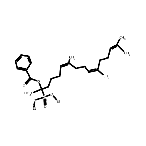 CCOP(=O)(OCC)C(CCCC=C(C)CCC=C(C)CCC=C(C)C)(OC(=O)c1ccccc1)C(=O)O